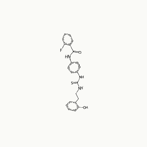 O=C(Nc1ccc(NC(=S)NCCc2ccccc2O)cc1)c1ccccc1F